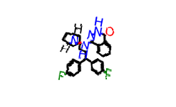 O=c1[nH]nc(N[C@@H]2C[C@H]3CC[C@@H](C2)N3CCCC(c2ccc(F)cc2)c2ccc(F)cc2)c2ccccc12